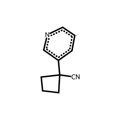 N#CC1(c2c[c]cnc2)CCC1